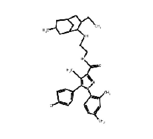 CCC1CC2CC(C)CC(C2)C1NCCNC(=O)c1nn(-c2ccc(C)cc2C)c(-c2ccc(Cl)cc2)c1C